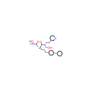 O=C(C[C@@H](CCCc1ccc(-c2ccccc2)cc1)C(=O)N(CO)CCc1cccnc1)NO